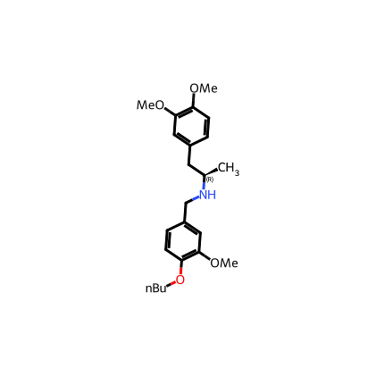 CCCCOc1ccc(CN[C@H](C)Cc2ccc(OC)c(OC)c2)cc1OC